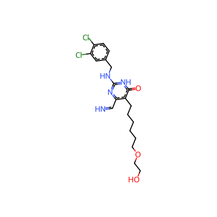 N=Cc1nc(NCc2ccc(Cl)c(Cl)c2)[nH]c(=O)c1CCCCCCOCCO